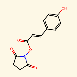 O=C(C=Cc1ccc(O)cc1)ON1C(=O)CCC1=O